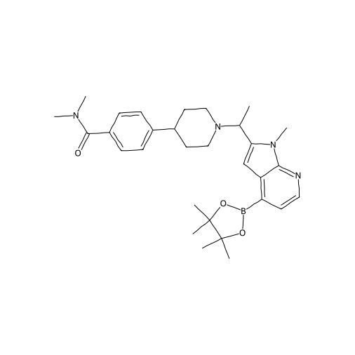 CC(c1cc2c(B3OC(C)(C)C(C)(C)O3)ccnc2n1C)N1CCC(c2ccc(C(=O)N(C)C)cc2)CC1